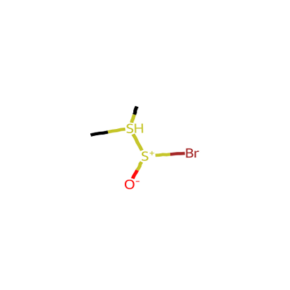 C[SH](C)[S+]([O-])Br